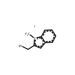 CC(C)Cc1cc2ccccc2[s+]1C(F)(F)F.[I-]